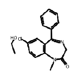 CCO.CN1C(=O)CN=C(c2ccccc2)c2cc(Cl)ccc21